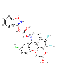 COC(=O)COc1ccc(Cl)cc1[C@@H]1c2ccc(F)c(F)c2CCN1OC(=O)Oc1noc2ccccc12